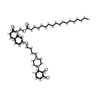 CCCCCCCCCCCCCCCCCC(=O)OCn1c(=O)ccc2ccc(OCCCCN3CCN(c4cccc(Cl)c4Cl)CC3)cc21